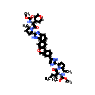 CCC1CC[C@@H](c2ncc(-c3ccc4c(c3)COc3cc5c(ccc6nc([C@@H]7CC[C@H](C)N7C(=O)[C@@H](NC(=O)OC)C7CCOCC7)[nH]c65)cc3-4)[nH]2)N1C(=O)[C@@H](NC(=O)OC)[C@@H](C)CC